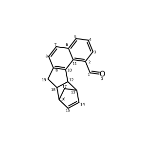 O=Cc1cccc2ccc3c(c12)C1C2C=CC(C2)C1C3